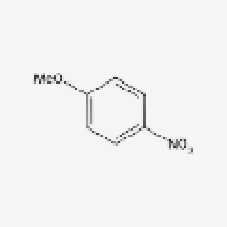 [CH2]Oc1ccc([N+](=O)[O-])cc1